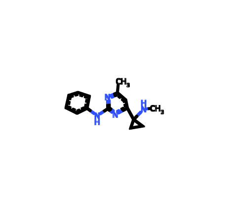 CNC1(c2cc(C)nc(Nc3ccccc3)n2)CC1